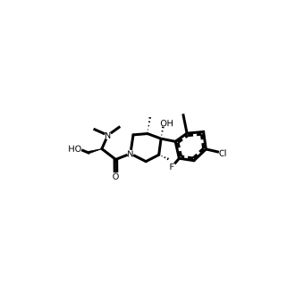 Cc1cc(Cl)cc(F)c1[C@@]1(O)[C@H](C)CN(C(=O)[C@@H](CO)N(C)C)C[C@@H]1C